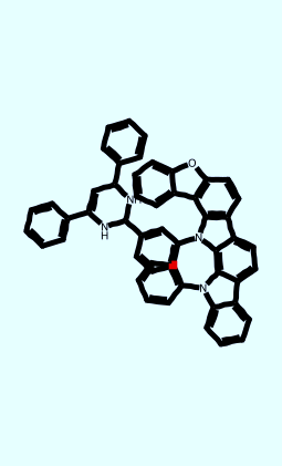 C1=C(c2ccccc2)NC(c2cccc(-n3c4c(ccc5oc6ccccc6c54)c4ccc5c6ccccc6n(-c6ccccc6)c5c43)c2)NC1c1ccccc1